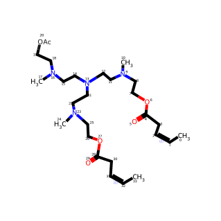 C/C=C\CC(=O)OCCN(C)CCN(CCN(C)CCOC(C)=O)CCN(C)CCOC(=O)C/C=C\C